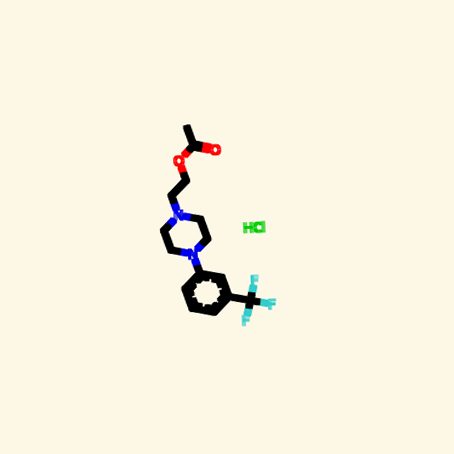 CC(=O)OCCN1CCN(c2cccc(C(F)(F)F)c2)CC1.Cl